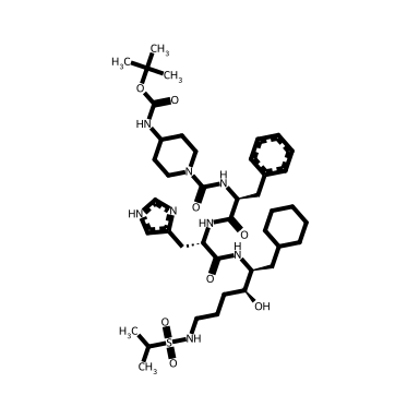 CC(C)S(=O)(=O)NCCC[C@H](O)[C@H](CC1CCCCC1)NC(=O)[C@H](Cc1c[nH]cn1)NC(=O)[C@H](Cc1ccccc1)NC(=O)N1CCC(NC(=O)OC(C)(C)C)CC1